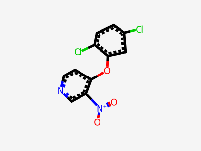 O=[N+]([O-])c1cnccc1Oc1cc(Cl)ccc1Cl